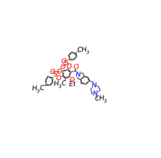 CCOc1c(C)c(OS(=O)(=O)c2ccc(C)cc2)cc(OS(=O)(=O)c2ccc(C)cc2)c1C(=O)N1Cc2ccc(CN3CCN(C)CC3)cc2C1